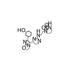 O=S1(=O)NCCCN1CCNC1=NC(c2c(-c3cccc(O)c3)nc3n2CCO3)CC=N1